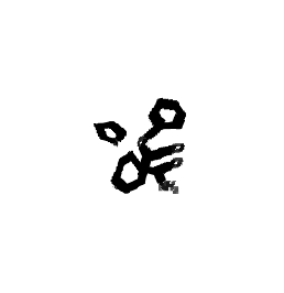 NC(=O)C1(C(=O)Oc2ccccc2)CCCCC1.c1ccsc1